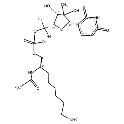 [2H]C([2H])(OP(=O)(O)OC[C@@H](CCCCCCCCCCCCCCCC)NC(=O)C(F)(F)F)[C@H]1O[C@@H](n2ccc(=O)[nH]c2=S)C(C)(O)[C@H]1O